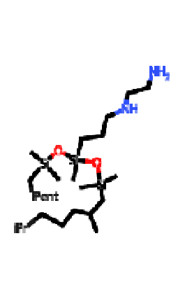 CCCC(C)C[Si](C)(C)O[Si](C)(CCCNCCN)O[Si](C)(C)CC(C)CCCC(C)C